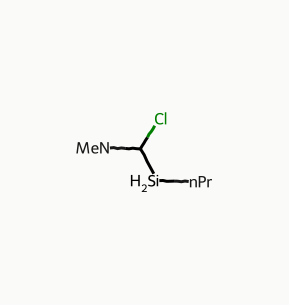 CCC[SiH2]C(Cl)NC